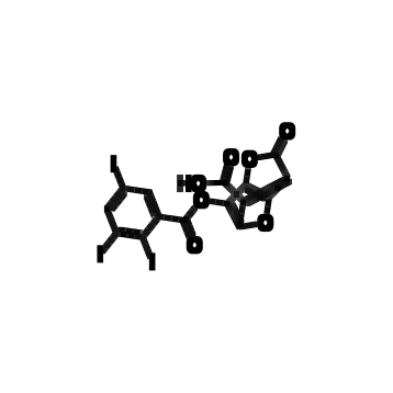 O=C(Oc1c2c3oc1c(C(=O)O)c3C(=O)O2)c1cc(I)cc(I)c1I